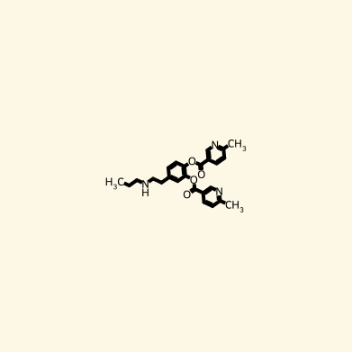 CCCNCCc1ccc(OC(=O)c2ccc(C)nc2)c(OC(=O)c2ccc(C)nc2)c1